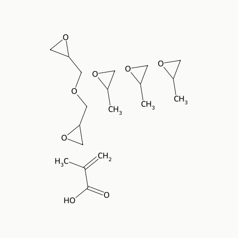 C(OCC1CO1)C1CO1.C=C(C)C(=O)O.CC1CO1.CC1CO1.CC1CO1